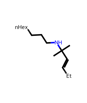 CCC=CC(C)(C)NCCCCCCCCC